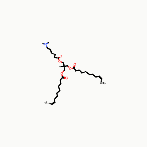 [CH2]C(COC(=O)CCCCCCC/C=C\CCCC)(COC(=O)CCCCCCC/C=C\CCCC)COC(=O)CCCCCN(C)C